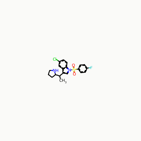 CC(c1cn(S(=O)(=O)c2ccc(F)cc2)c2ccc(Cl)cc12)C1CCCN1